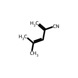 C=C(C#N)C=C(C)C